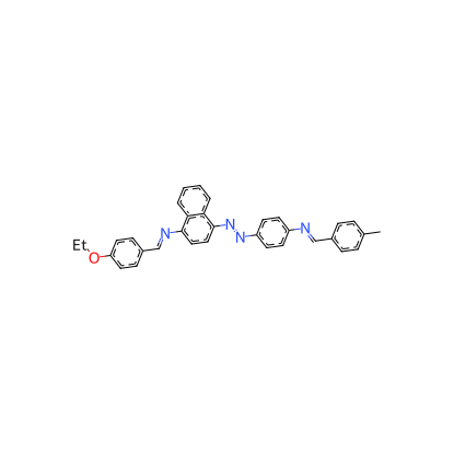 CCOc1ccc(C=Nc2ccc(N=Nc3ccc(N=Cc4ccc(C)cc4)cc3)c3ccccc23)cc1